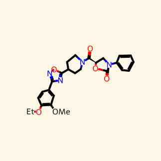 CCOc1ccc(-c2noc(C3CCN(C(=O)[C@H]4CN(c5ccccc5)C(=O)O4)CC3)n2)cc1OC